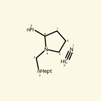 C#N.CCCCCCCCN1CCCC1CCC